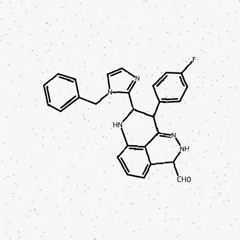 O=CC1NN=C2c3c(cccc31)NC(c1nccn1Cc1ccccc1)C2c1ccc(F)cc1